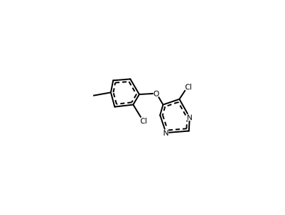 Cc1ccc(Oc2cncnc2Cl)c(Cl)c1